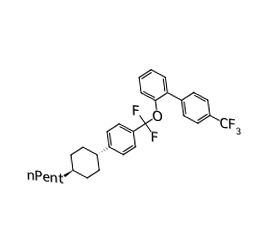 CCCCC[C@H]1CC[C@H](c2ccc(C(F)(F)Oc3ccccc3-c3ccc(C(F)(F)F)cc3)cc2)CC1